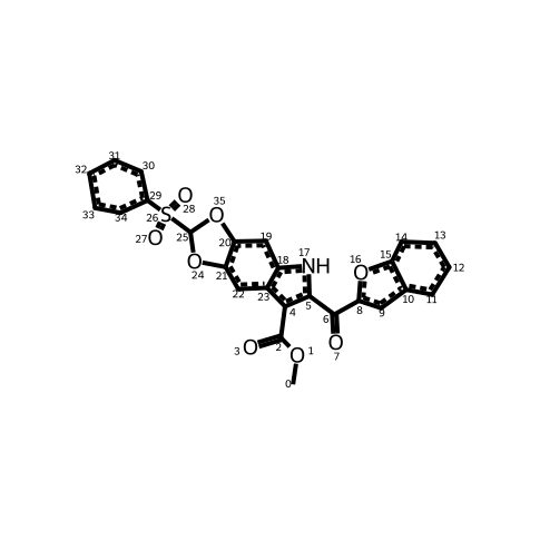 COC(=O)c1c(C(=O)c2cc3ccccc3o2)[nH]c2cc3c(cc12)OC(S(=O)(=O)c1ccccc1)O3